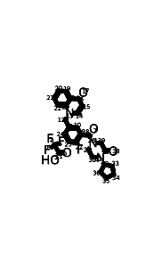 O=C(O)C(F)(F)F.O=C(c1cc(Cn2ccc(=O)c3ccccc32)ccc1F)N1CCN(C2CCCC2)C(=O)C1